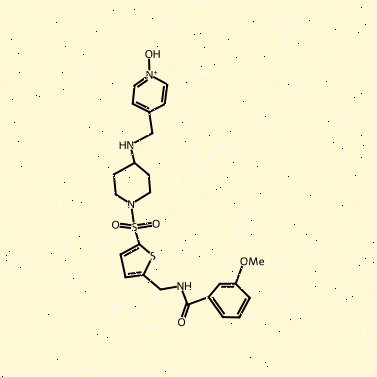 COc1cccc(C(=O)NCc2ccc(S(=O)(=O)N3CCC(NCc4cc[n+](O)cc4)CC3)s2)c1